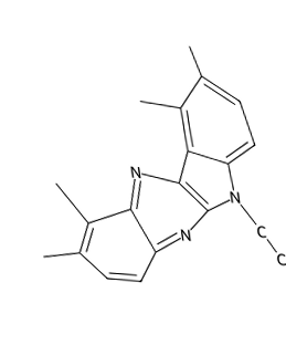 CCCCn1c2ccc(C)c(C)c2c2nc3c(C)c(C)ccc3nc21